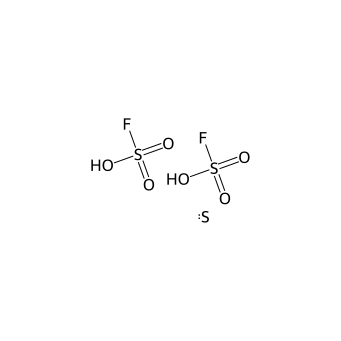 O=S(=O)(O)F.O=S(=O)(O)F.[S]